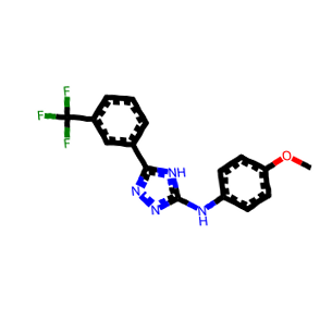 COc1ccc(Nc2nnc(-c3cccc(C(F)(F)F)c3)[nH]2)cc1